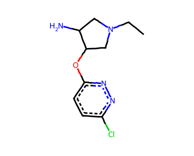 CCN1CC(N)C(Oc2ccc(Cl)nn2)C1